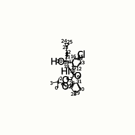 CC(C)(C)C(=O)O[C@@H](C(=O)Nc1ccc(Cl)cc1[C@@](C)(O)C#CC1CC1)c1ccccc1